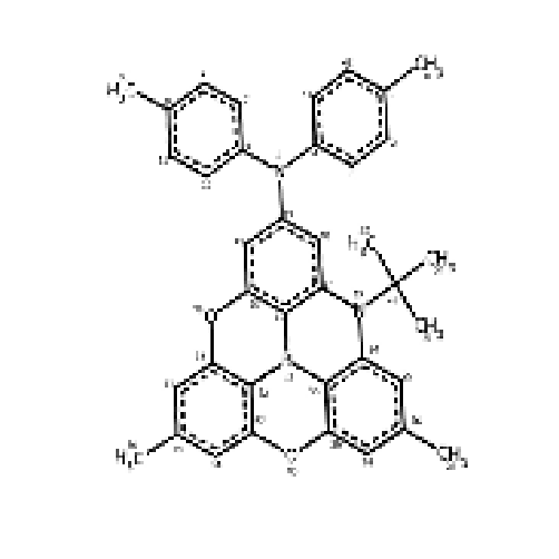 Cc1ccc(N(c2ccc(C)cc2)c2cc3c4c(c2)N(C(C)(C)C)c2cc(C)cc5c2B4c2c(cc(C)cc2O3)O5)cc1